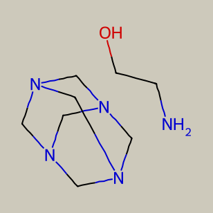 C1N2CN3CN1CN(C2)C3.NCCO